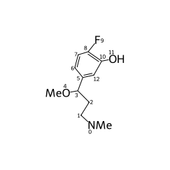 CNCCC(OC)c1ccc(F)c(O)c1